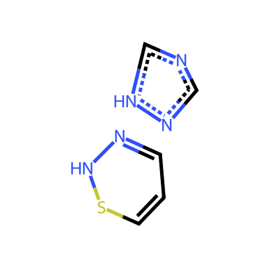 C1=CSNN=C1.c1nc[nH]n1